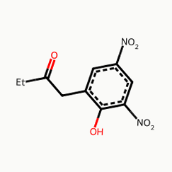 CCC(=O)Cc1cc([N+](=O)[O-])cc([N+](=O)[O-])c1O